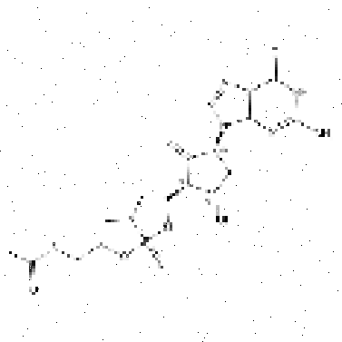 C=C1[C@H](COP(=O)(OCCSC(C)=O)N(C)C)[C@@H](O)C[C@@H]1n1cnc2c(=O)[nH]c(N)nc21